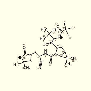 CC1(C)CC(CC(C#N)NC(=O)C2C3C(CN2C(=O)C(NC(=O)C(F)(F)F)C(C)(C)C)C3(C)C)C(=O)N1